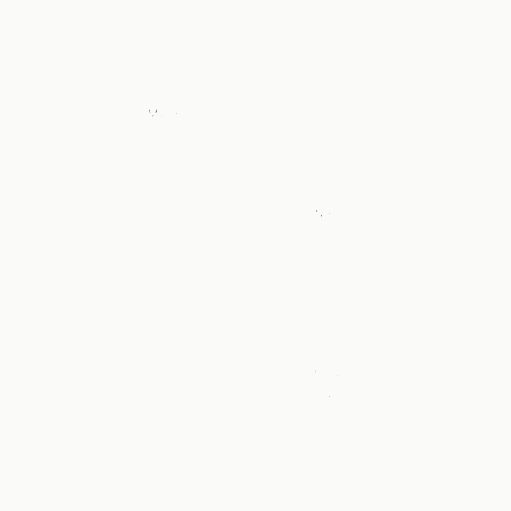 COc1ccc(C(=O)CCCCCCCCCCS(=O)(=O)[O-])cc1.[Na+]